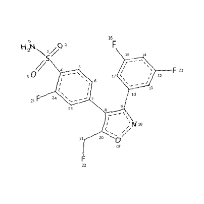 NS(=O)(=O)c1ccc(-c2c(-c3cc(F)cc(F)c3)noc2CF)cc1F